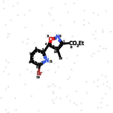 CCOC(=O)c1noc(-c2cccc(Br)n2)c1C